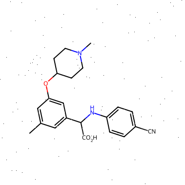 Cc1cc(OC2CCN(C)CC2)cc(C(Nc2ccc(C#N)cc2)C(=O)O)c1